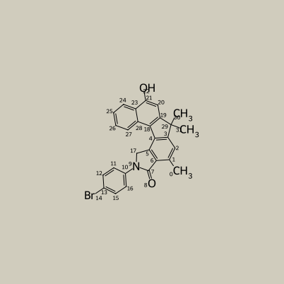 Cc1cc2c(c3c1C(=O)N(c1ccc(Br)cc1)C3)-c1c(cc(O)c3ccccc13)C2(C)C